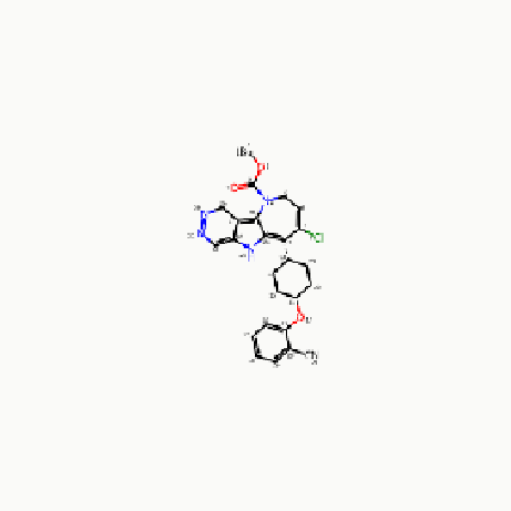 CC(C)(C)OC(=O)N1CC=C(Cl)C([C@H]2CC[C@H](Oc3ccccc3C#N)CC2)=c2[nH]c3c(c21)CN=NC=3